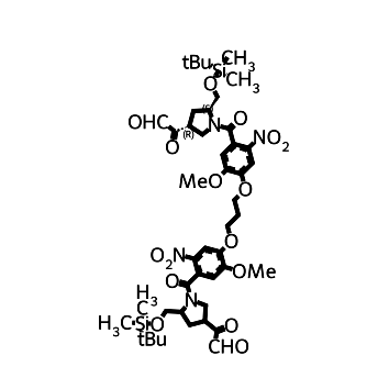 COc1cc(C(=O)N2CC(C(=O)C=O)CC2CO[Si](C)(C)C(C)(C)C)c([N+](=O)[O-])cc1OCCCOc1cc([N+](=O)[O-])c(C(=O)N2C[C@H](C(=O)C=O)C[C@H]2CO[Si](C)(C)C(C)(C)C)cc1OC